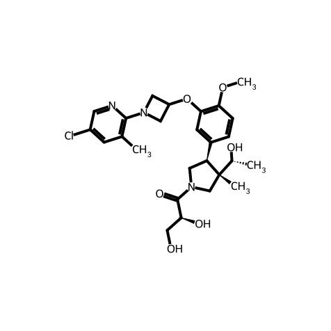 COc1ccc([C@@H]2CN(C(=O)[C@@H](O)CO)C[C@@]2(C)[C@@H](C)O)cc1OC1CN(c2ncc(Cl)cc2C)C1